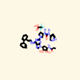 CCC(=O)N[C@H]1C[C@@H](n2cnc3c(NCCc4ccccc4-c4ccccc4)nc(N4CC[C@@H](NC(=O)N[C@@H]5CCNC5)C4)nc32)[C@H](O)[C@@H]1O.O=C(O)C(F)(F)F